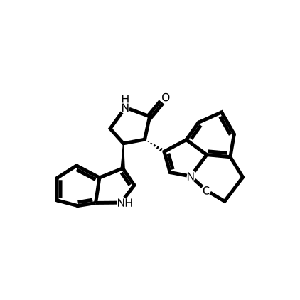 O=C1NC[C@H](c2c[nH]c3ccccc23)[C@H]1c1cn2c3c(cccc13)CCC2